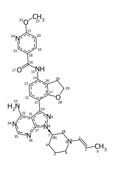 CC=CN1CCC[C@@H](n2nc(-c3ccc(NC(=O)c4ccc(OC)nc4)c4c3OCC4)c3c(N)ncnc32)C1